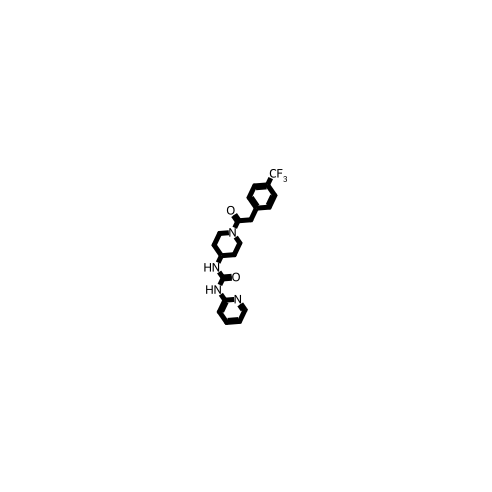 O=C(Nc1ccccn1)NC1CCN(C(=O)Cc2ccc(C(F)(F)F)cc2)CC1